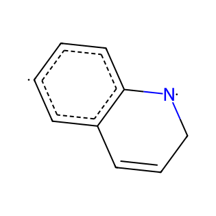 [c]1ccc2c(c1)C=CC[N]2